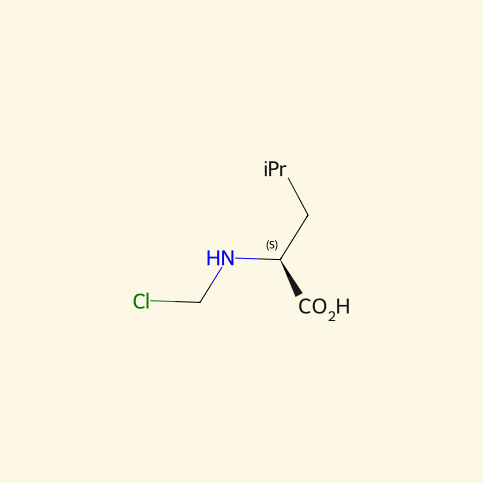 CC(C)C[C@H](NCCl)C(=O)O